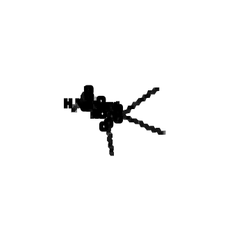 CCCCCCCCCCCCCCC(CCCCCCCCCCCCCC)C(=O)O[C@H]1O[C@H](COC(=O)CCCCCCCCC)[C@@H](O)[C@@H](OC(C)C(=O)N[C@@H](C)C(=O)N[C@H](CCC(=O)OC)C(N)=O)[C@H]1NC(C)=O